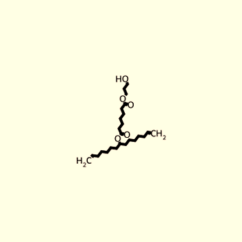 C=CCCCCCC(CCCCCC=C)OC(=O)CCCCCC(=O)OCCCO